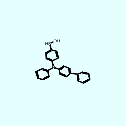 OBc1ccc(N(c2ccccc2)c2ccc(-c3ccccc3)cc2)cc1